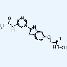 CNC(=O)COc1ccc2sc(-c3cncc(NC(C)=O)c3)nc2c1